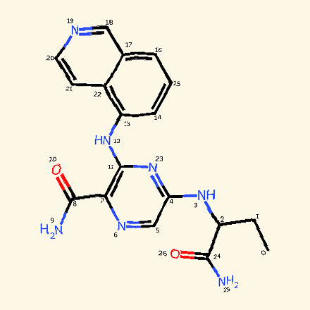 CCC(Nc1cnc(C(N)=O)c(Nc2cccc3cnccc23)n1)C(N)=O